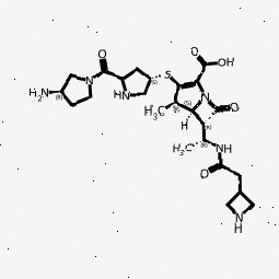 C[C@@H](NC(=O)CC1CNC1)[C@H]1C(=O)N2C(C(=O)O)=C(S[C@@H]3CNC(C(=O)N4CC[C@@H](N)C4)C3)[C@H](C)[C@H]12